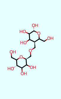 OCC1O[C@@H](COC[C@@H]2C(CO)O[C@@H](O)C(O)C2O)C(O)C(O)[C@@H]1O